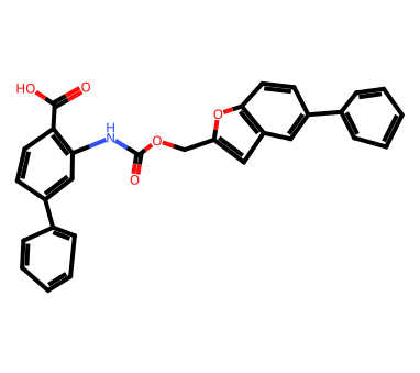 O=C(Nc1cc(-c2ccccc2)ccc1C(=O)O)OCc1cc2cc(-c3ccccc3)ccc2o1